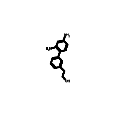 Nc1ccc(-c2cccc(CCO)c2)c(N)c1